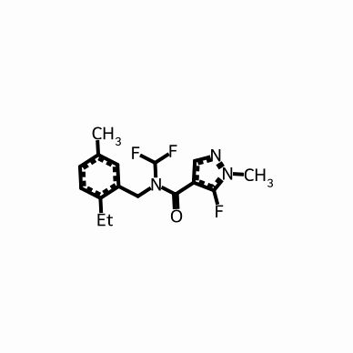 CCc1ccc(C)cc1CN(C(=O)c1cnn(C)c1F)C(F)F